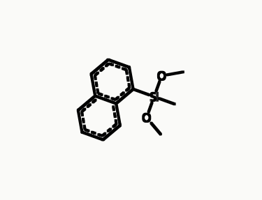 CO[Si](C)(OC)c1cccc2ccccc12